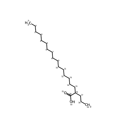 CCCCCCCCCCCCCCCCC(CCC)C(=O)O